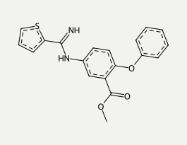 COC(=O)c1cc(NC(=N)c2cccs2)ccc1Oc1ccccc1